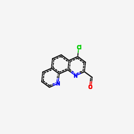 O=Cc1cc(Cl)c2ccc3cccnc3c2n1